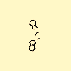 CN(CC(=O)N1C=C2CC=CC=C2C1)c1ccc2ccccc2c1